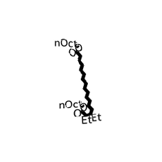 CCCCCCCCOC(=O)CCCCCCCCCCCCCC(CC)C(CC)C(=O)OCCCCCCCC